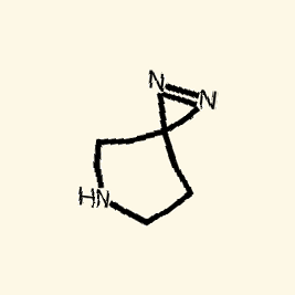 C1CC2(CN1)N=N2